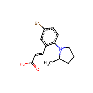 CC1CCCN1c1ccc(Br)cc1/C=C/C(=O)O